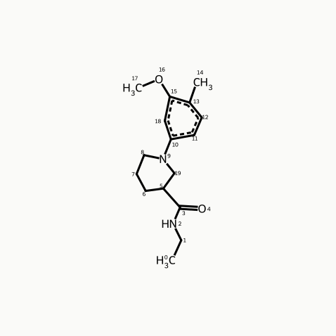 CCNC(=O)C1CCCN(c2ccc(C)c(OC)c2)C1